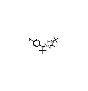 CC(=NN=C(c1ccc(F)cc1)C(C)(C)C)NC(C)(C)C